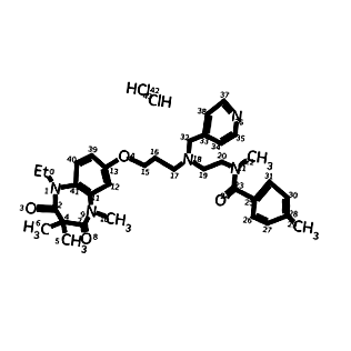 CCN1C(=O)C(C)(C)C(=O)N(C)c2cc(OCCCN(CCN(C)C(=O)c3ccc(C)cc3)Cc3ccncc3)ccc21.Cl.Cl